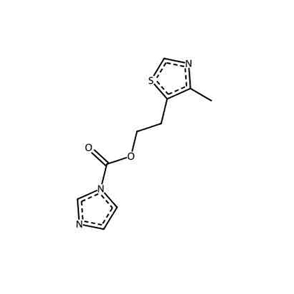 Cc1ncsc1CCOC(=O)n1ccnc1